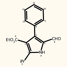 CCOC(=O)c1c(C(C)C)[nH]c(C=O)c1-c1ccccc1